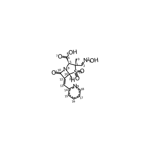 C[C@]1(/C=N/O)[C@H](C(=O)O)N2C(=O)/C(=C/c3ccccn3)[C@H]2S1(=O)=O